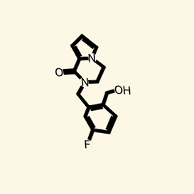 O=C1c2cccn2CCN1Cc1cc(F)ccc1CO